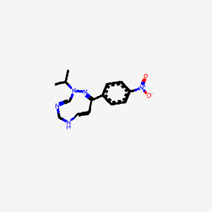 CC(C)N1/C=N/CN/C=C/C(c2ccc([N+](=O)[O-])cc2)=N\1